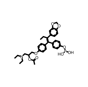 CCC(=C(c1ccc(OCC(CN(CC)CC)OC(C)=O)cc1)c1ccc(OP(O)O)cc1)c1ccc2c(c1)OCO2